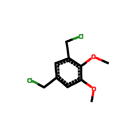 COc1cc(CCl)cc(CCl)c1OC